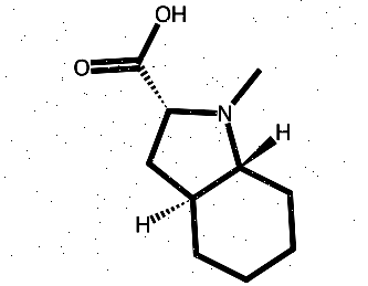 CN1[C@@H](C(=O)O)C[C@@H]2CCCC[C@H]21